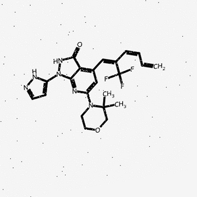 C=C/C=C\C(=C\c1cc(N2CCOCC2(C)C)nc2c1c(=O)[nH]n2-c1ccn[nH]1)C(F)(F)F